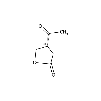 CC(=O)[C@H]1COC(=O)C1